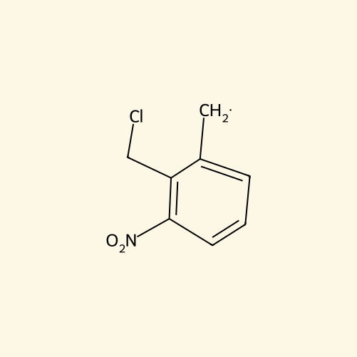 [CH2]c1cccc([N+](=O)[O-])c1CCl